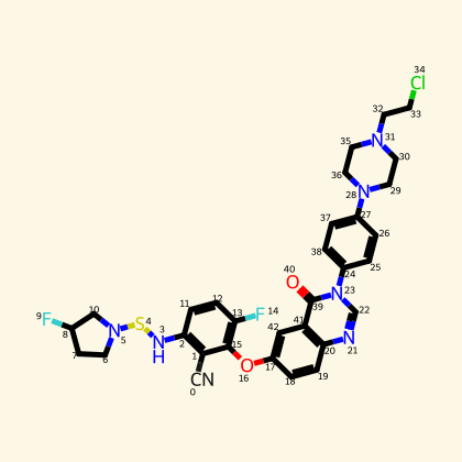 N#Cc1c(NSN2CCC(F)C2)ccc(F)c1Oc1ccc2ncn(-c3ccc(N4CCN(CCCl)CC4)cc3)c(=O)c2c1